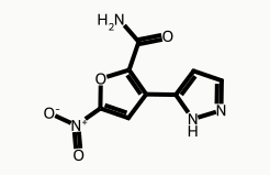 NC(=O)c1oc([N+](=O)[O-])cc1-c1ccn[nH]1